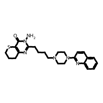 Nn1c(CCCCN2CCN(c3ccc4ccccc4n3)CC2)nc2c(c1=O)SCCC2